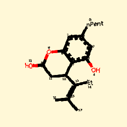 CCCCCc1cc(O)c2c(c1)OC(O)CC2C(CC)=C(C)C